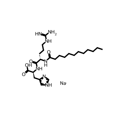 CCCCCCCCCCCC(=O)N[C@@H](CCCNC(=N)N)C(=O)N[C@@H](Cc1c[nH]cn1)C(=O)O.[Na]